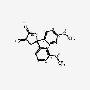 O=C1CC(c2ccc(OC(F)(F)F)cc2)(c2cccc(OC(F)(F)F)c2)NC1=O